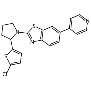 Clc1ccc(C2CCCN2c2nc3ccc(-c4ccncc4)cc3s2)s1